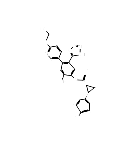 CCOc1ccc(-c2cc(C)c(NC(=O)[C@@H]3C[C@H]3c3ccc(Cl)cc3)cc2-c2nnn[nH]2)cn1